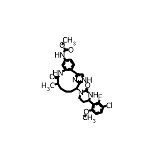 COC(=O)Nc1ccc2c(c1)NC(=O)C(C)CCC[C@H](N1CCC(c3c(OC)ccc(Cl)c3F)NC1=O)c1nc-2c[nH]1